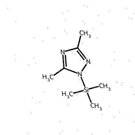 Cc1nc(C)n([Si](C)(C)C)n1